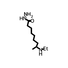 [CH2]CNC(C)CCCCCCC(=O)NN